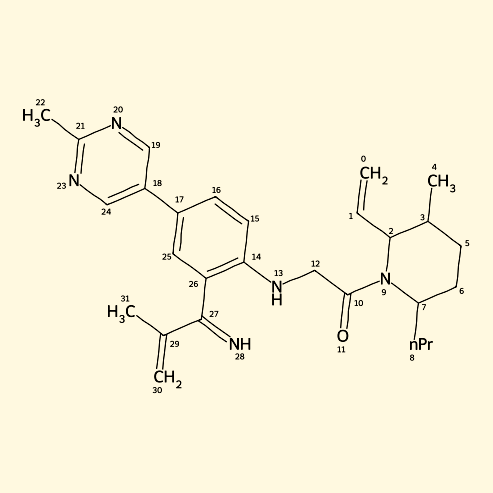 C=CC1C(C)CCC(CCC)N1C(=O)CNc1ccc(-c2cnc(C)nc2)cc1C(=N)C(=C)C